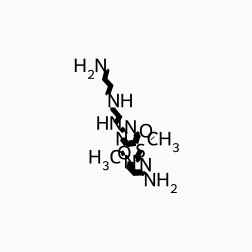 COc1nc(NCCNCCCCN)nc(OC)c1Sc1nccc(N)n1